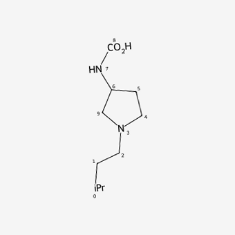 CC(C)CCN1CCC(NC(=O)O)C1